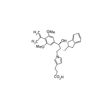 C=C(C)c1c(OC)cc([C@@H](O)[C@H](CC2Cc3ccccc3C2)Cn2ccc(CCC(=O)O)c2)cc1OC